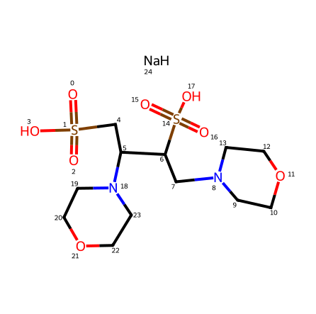 O=S(=O)(O)CC(C(CN1CCOCC1)S(=O)(=O)O)N1CCOCC1.[NaH]